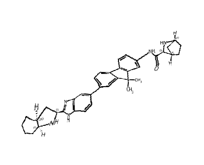 CC1(C)c2cc(NC(=O)[C@H]3N[C@@H]4CC[C@H]3C4)ccc2-c2ccc(-c3ccc4[nH]c([C@@H]5C[C@@H]6CCCC[C@@H]6N5)nc4c3)cc21